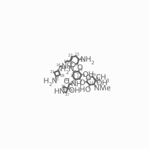 CN[C@@H]1[C@@H](O)[C@@H](O[C@@H]2[C@@H](O)[C@H](O[C@H]3OC(CNC[C@H]4C[C@H](N)C4)=CC[C@H]3N)[C@@H](N)C[C@H]2NC(=O)C2(O)CNC2)OC[C@]1(C)O